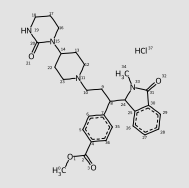 COC(=O)c1ccc(C(CCN2CCC(N3CCCNC3=O)CC2)C2c3ccccc3C(=O)N2C)cc1.Cl